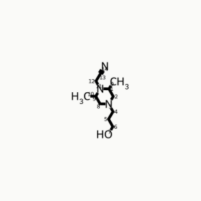 CC1CN(CCCO)CC(C)N1CC#N